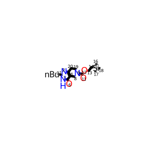 CCCCc1nc2c(c(=O)[nH]1)CN(C(=O)OCC[Si](C)(C)C)CC2